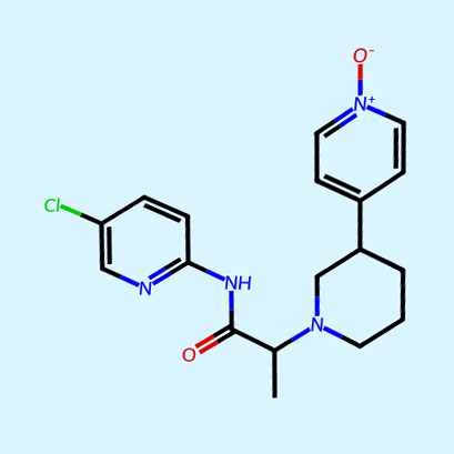 CC(C(=O)Nc1ccc(Cl)cn1)N1CCCC(c2cc[n+]([O-])cc2)C1